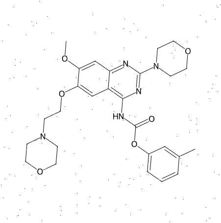 COc1cc2nc(N3CCOCC3)nc(NC(=O)Oc3cccc(C)c3)c2cc1OCCN1CCOCC1